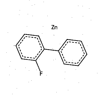 Fc1c[c]ccc1-c1ccccc1.[Zn]